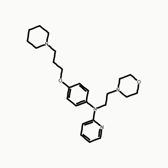 c1ccc(N(CCN2CCOCC2)c2ccc(OCCCN3CCCCC3)cc2)nc1